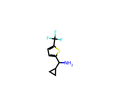 NC(c1ccc(C(F)(F)F)s1)C1CC1